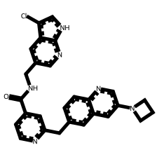 O=C(NCc1cnc2[nH]cc(Cl)c2c1)c1ccnc(Cc2ccc3ncc(N4CCC4)cc3c2)c1